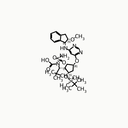 CO[C@H]1Cc2ccccc2[C@H]1Nc1cc(O[C@H]2C[C@H](O[Si](C)(C)C(C)(C)C)[C@H](C(N(C(=O)O)S(N)(=O)=O)C(C)(C)C)C2)ncn1